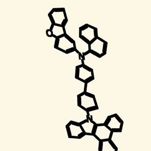 c1ccc2c(N(c3ccc(-c4ccc(-n5c6ccccc6c6c7ccccc7c7ccccc7c65)cc4)cc3)c3ccc4oc5ccccc5c4c3)cccc2c1